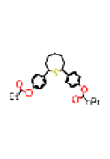 CCCC(=O)Oc1ccc(C2CCCCCC(c3ccc(OC(=O)CC)cc3)S2)cc1